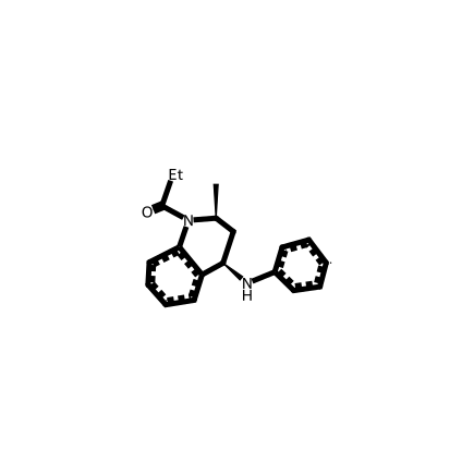 CCC(=O)N1c2ccccc2[C@H](Nc2cc[c]cc2)C[C@@H]1C